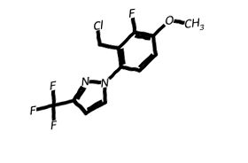 COc1ccc(-n2ccc(C(F)(F)F)n2)c(CCl)c1F